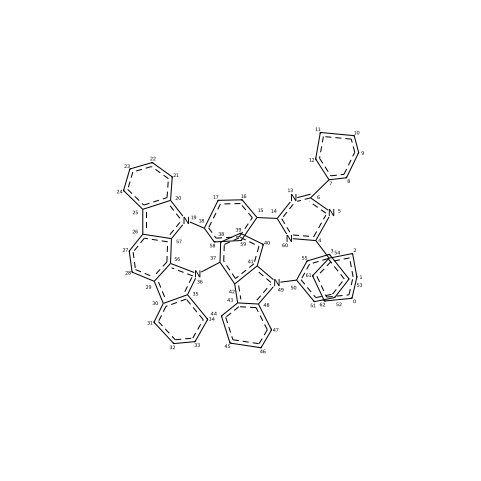 c1ccc(-c2nc(-c3ccccc3)nc(-c3ccc(-n4c5ccccc5c5ccc6c7ccccc7n(-c7cccc8c7c7ccccc7n8-c7ccccc7)c6c54)cc3)n2)cc1